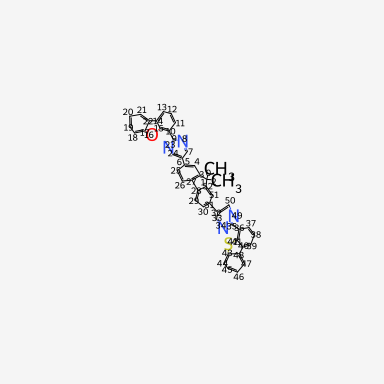 CC1(C)c2cc(-c3cnc(-c4cccc5c4oc4ccccc45)nc3)ccc2-c2ccc(-c3cnc(-c4cccc5c4sc4ccccc45)nc3)cc21